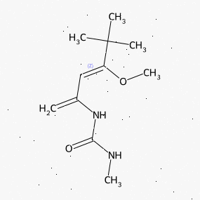 C=C(/C=C(\OC)C(C)(C)C)NC(=O)NC